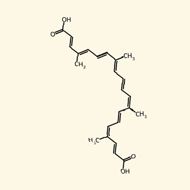 CC(C=CC=C(C)C=CC(=O)O)=CC=CC=C(C)C=CC=C(C)/C=C/C(=O)O